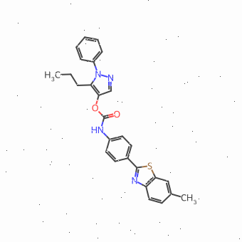 CCCc1c(OC(=O)Nc2ccc(-c3nc4ccc(C)cc4s3)cc2)cnn1-c1ccccc1